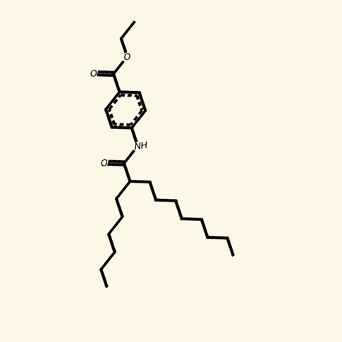 CCCCCCCCC(CCCCCC)C(=O)Nc1ccc(C(=O)OCC)cc1